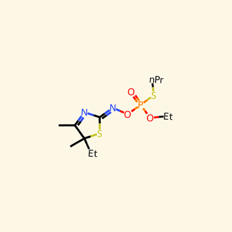 CCCSP(=O)(OCC)ON=C1N=C(C)C(C)(CC)S1